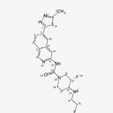 Cc1nnc(-c2ccc3cnc(NC(=O)N4CCC(NCCF)[C@@H](F)C4)cc3c2)s1